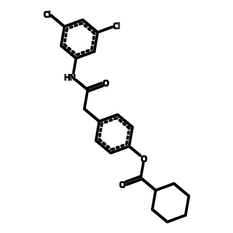 O=C(Cc1ccc(OC(=O)C2CCCCC2)cc1)Nc1cc(Cl)cc(Cl)c1